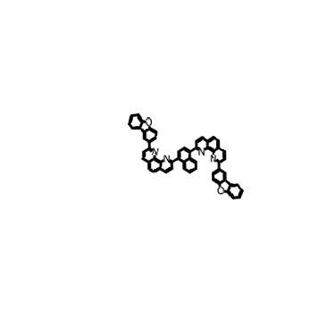 c1ccc2c(c1)oc1ccc(-c3ccc4ccc5ccc(-c6ccc(-c7ccc8ccc9ccc(-c%10ccc%11oc%12ccccc%12c%11c%10)nc9c8n7)c7ccccc67)nc5c4n3)cc12